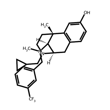 CN(Cc1cccc(C(F)(F)F)c1)[C@@H]1[C@H]2Cc3ccc(O)cc3[C@@]1(C)CCN2CC1CC1